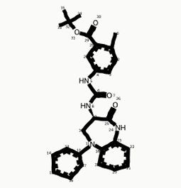 Cc1ccc(NC(=O)N[C@@H]2CN(c3ccccc3)c3ccccc3NC2=O)cc1C(=O)OC(C)(C)C